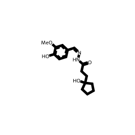 COc1cc(/C=N\NC(=O)CCC2(O)CCCC2)ccc1O